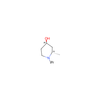 CC(C)N1CC[C@@H](O)C[C@@H]1C